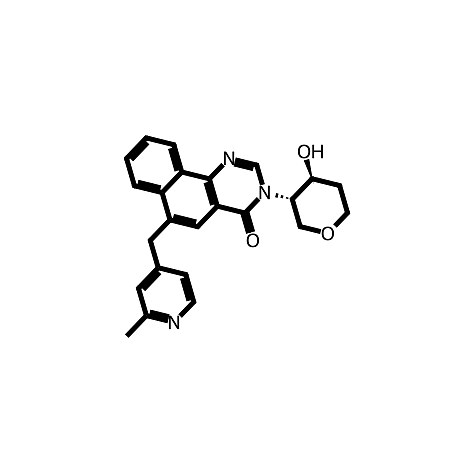 Cc1cc(Cc2cc3c(=O)n([C@H]4COCC[C@@H]4O)cnc3c3ccccc23)ccn1